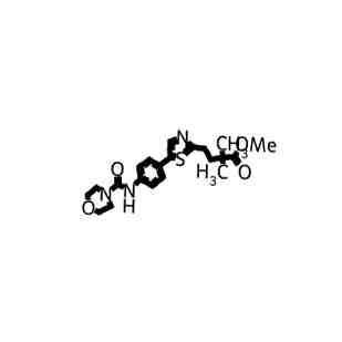 COC(=O)C(C)(C)CCc1ncc(-c2ccc(NC(=O)N3CCOCC3)cc2)s1